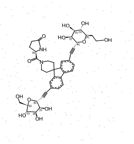 O=C1CC[C@H](C(=O)N2CCC3(CC2)c2cc(C#C[C@H]4O[C@H](CO)[C@@H](O)[C@H](O)[C@@H]4O)ccc2-c2ccc(C#C[C@H]4O[C@H](CCO)[C@@H](O)[C@H](O)[C@@H]4O)cc23)N1